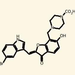 O=C1C(=Cc2c[nH]c3ccc(Br)cc23)Oc2c1ccc(O)c2CN1CCN(C(=O)O)CC1